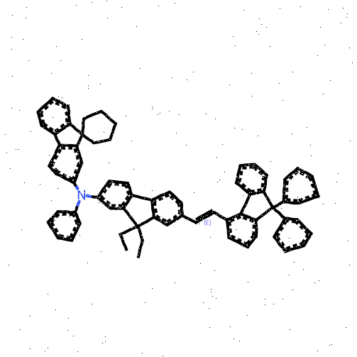 CCC1(CC)c2cc(/C=C/c3cccc4c3-c3ccccc3C4(c3ccccc3)c3ccccc3)ccc2-c2ccc(N(c3ccccc3)c3ccc4c(c3)C3(CCCCC3)c3ccccc3-4)cc21